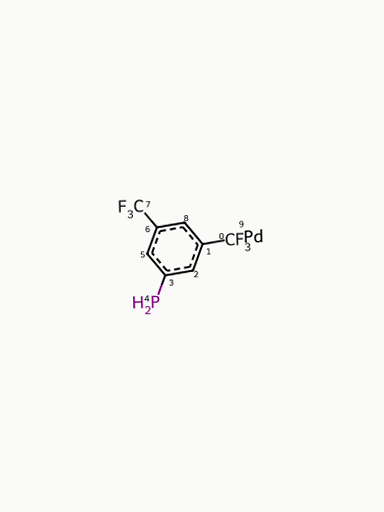 FC(F)(F)c1cc(P)cc(C(F)(F)F)c1.[Pd]